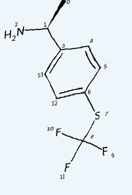 C[C@H](N)c1ccc(SC(F)(F)F)cc1